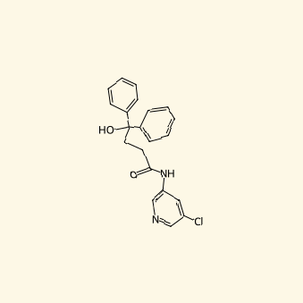 O=C(CCC(O)(c1ccccc1)c1ccccc1)Nc1cncc(Cl)c1